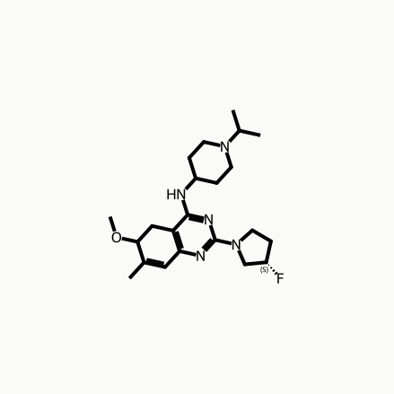 COC1Cc2c(nc(N3CC[C@H](F)C3)nc2NC2CCN(C(C)C)CC2)C=C1C